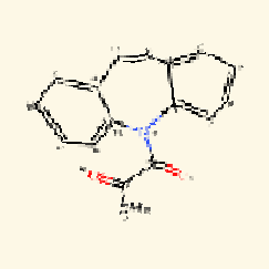 COC(=O)C(=O)N1c2ccccc2C=Cc2ccccc21